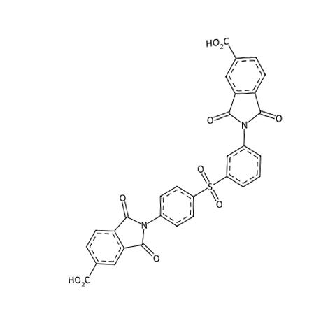 O=C(O)c1ccc2c(c1)C(=O)N(c1ccc(S(=O)(=O)c3cccc(N4C(=O)c5ccc(C(=O)O)cc5C4=O)c3)cc1)C2=O